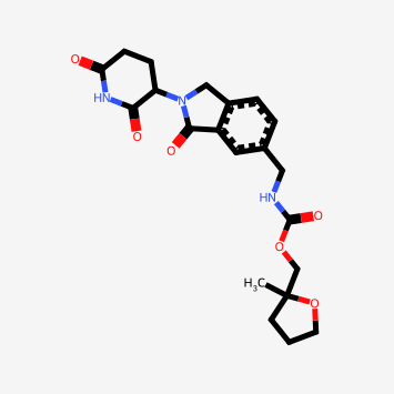 CC1(COC(=O)NCc2ccc3c(c2)C(=O)N(C2CCC(=O)NC2=O)C3)CCCO1